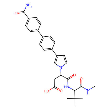 CNC(=O)C(NC(=O)C(CC(=O)O)n1ccc(-c2ccc(-c3ccc(C(N)=O)cc3)cc2)c1)C(C)(C)C